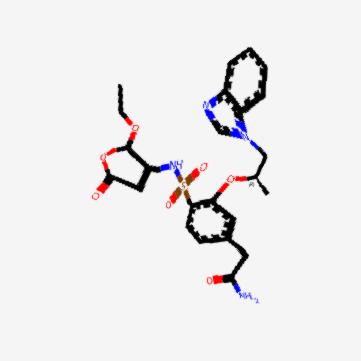 CCOC1OC(=O)CC1NS(=O)(=O)c1ccc(CC(N)=O)cc1O[C@H](C)Cn1cnc2ccccc21